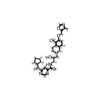 Cc1ncoc1COc1ccc2c(c1Cl)CCN(CC(O)CNC(=O)c1cc(NC3CCCC3)ncn1)C2